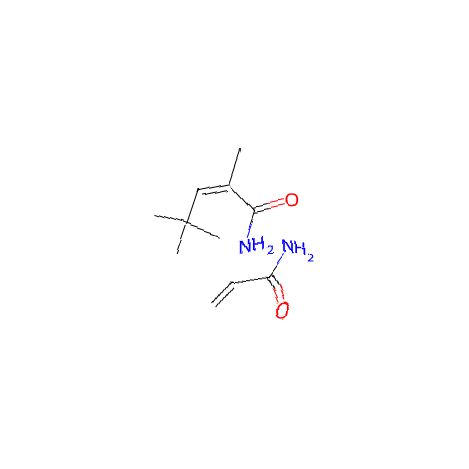 C=CC(N)=O.CC(=CC(C)(C)C)C(N)=O